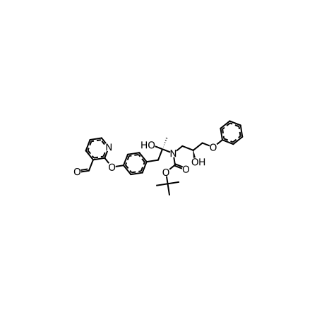 CC(C)(C)OC(=O)N(C[C@H](O)COc1ccccc1)[C@](C)(O)Cc1ccc(Oc2ncccc2C=O)cc1